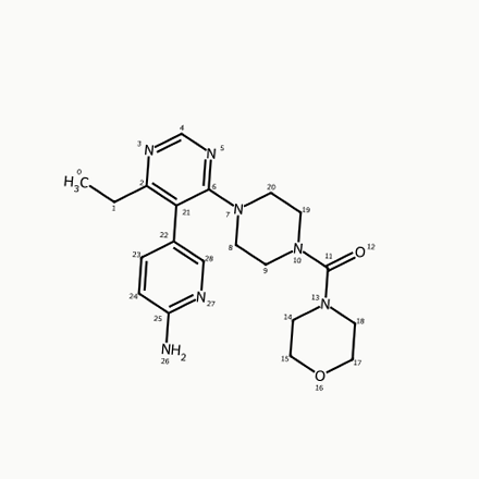 CCc1ncnc(N2CCN(C(=O)N3CCOCC3)CC2)c1-c1ccc(N)nc1